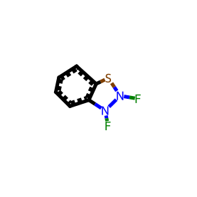 FN1Sc2ccccc2N1F